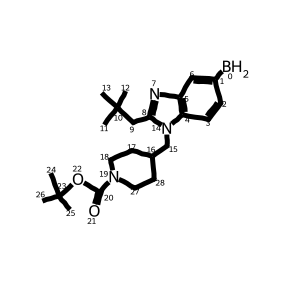 Bc1ccc2c(c1)nc(CC(C)(C)C)n2CC1CCN(C(=O)OC(C)(C)C)CC1